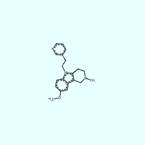 COc1ccc2c(c1)c1c(n2CCc2cccnc2)CCN(C)C1